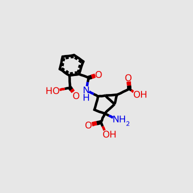 NC1(C(=O)O)CC(NC(=O)c2ccccc2C(=O)O)C2C(C(=O)O)C21